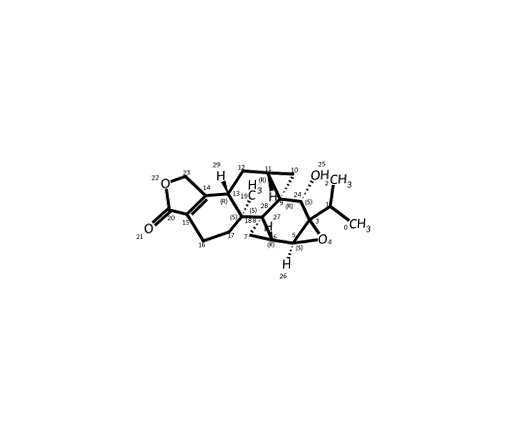 CC(C)C12O[C@H]1[C@@H]1C[C@]13[C@]1(C[C@H]1C[C@H]1C4=C(CC[C@@]13C)C(=O)OC4)[C@@H]2O